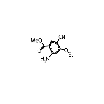 CCOc1cc(N)c(C(=O)OC)cc1C#N